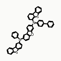 c1ccc(-c2ccc(N(c3ccc4c(c3)oc3ccc(N(c5ccccc5)c5ccc6sc7ccccc7c6c5)cc34)c3cccc4c3sc3ccccc34)cc2)cc1